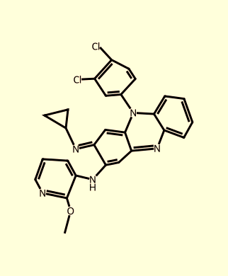 COc1ncccc1Nc1cc2nc3ccccc3n(-c3ccc(Cl)c(Cl)c3)c-2cc1=NC1CC1